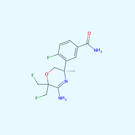 C[C@@]1(c2cc(C(N)=O)ccc2F)COC(CF)(CF)C(N)=N1